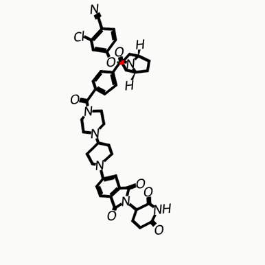 N#Cc1ccc(O[C@H]2C[C@H]3CC[C@@H](C2)N3C(=O)c2ccc(C(=O)N3CCN(C4CCN(c5ccc6c(c5)C(=O)N(C5CCC(=O)NC5=O)C6=O)CC4)CC3)cc2)cc1Cl